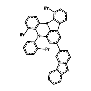 CC(C)c1ccccc1N1c2cc(-c3ccc4sc5ccccc5c4c3)cc3c2B(c2cccc(C(C)C)c21)c1c-3cccc1C(C)C